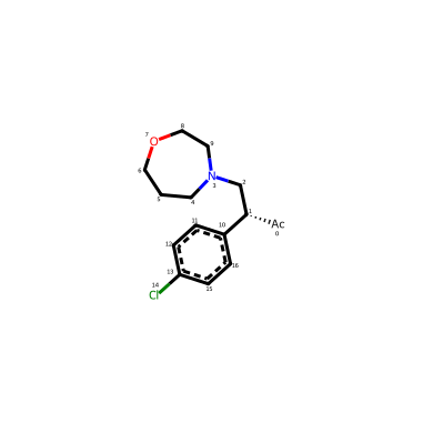 CC(=O)[C@@H](CN1CCCOCC1)c1ccc(Cl)cc1